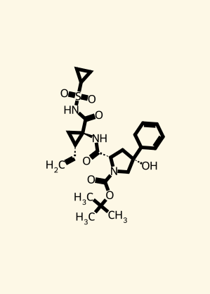 C=C[C@@H]1C[C@]1(NC(=O)[C@@H]1C[C@@](O)(C2C=CC=CC2)CN1C(=O)OC(C)(C)C)C(=O)NS(=O)(=O)C1CC1